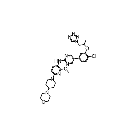 COc1nc(N2CCC(N3CCOCC3)CC2)ccc1Nc1ncc(-c2ccc(Cl)c(OC(C)Cn3cnnn3)c2)cn1